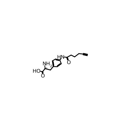 C#CCCCC(=O)Nc1ccc(C[C@H](N)C(=O)O)cc1